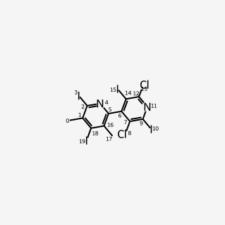 Cc1c(I)nc(-c2c(Cl)c(I)nc(Cl)c2I)c(C)c1I